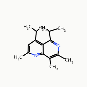 Cc1cc(C(C)C)c2c(C(C)C)nc(C)c(C)c2n1